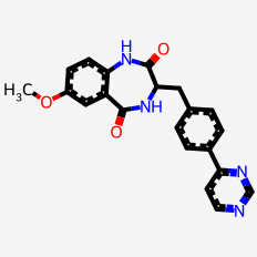 COc1ccc2c(c1)C(=O)NC(Cc1ccc(-c3ccncn3)cc1)C(=O)N2